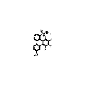 COc1cccc(-c2c(F)c(F)c(F)c(F)c2-c2ccccc2S(N)(=O)=O)c1